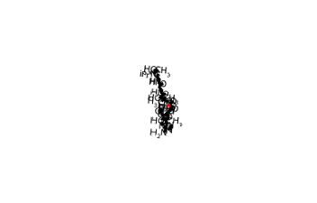 CC(C)CNC(C)(O)SCCNC(=O)CCNC(=O)C(O)C(C)(C)COP(=O)(O)OP(=O)(O)OCC1OC(C)(n2cnc3c(N)ncnc32)C(O)C1OP(=O)(O)O